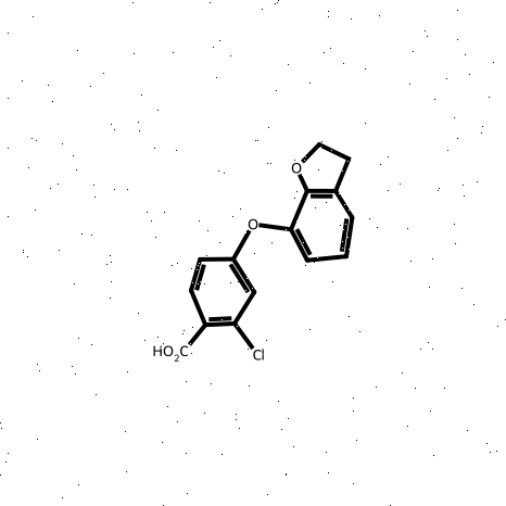 O=C(O)c1ccc(Oc2cccc3c2OCC3)cc1Cl